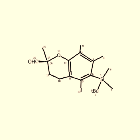 Cc1c(C)c([Si](C)(C)C(C)(C)C)c(C)c2c1O[C@](C)(C=O)CC2